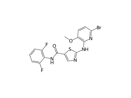 COc1ccc(Br)nc1Nc1ncc(C(=O)Nc2c(F)cccc2F)s1